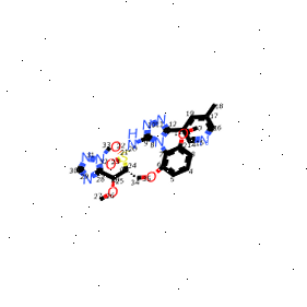 COc1cccc2c1-n1c(nnc1-c1cncc(C)c1)NS(=O)(=O)[C@@H]([C@@H](OC)c1ncnn1C)CO2